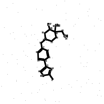 Cc1nc(-c2ccc(CN3CCC(CC#N)(C(C)(C)C)C(F)C3)cc2)cs1